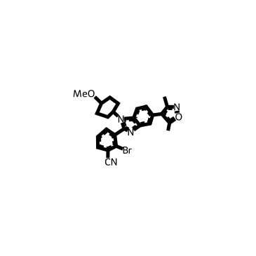 COC1CCC(n2c(-c3cccc(C#N)c3Br)nc3cc(-c4c(C)noc4C)ccc32)CC1